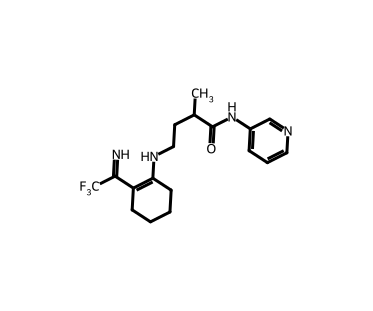 CC(CCNC1=C(C(=N)C(F)(F)F)CCCC1)C(=O)Nc1cccnc1